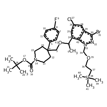 CC(OCC1(c2ccc(F)cc2)CCN(C(=O)OC(C)(C)C)CC1)c1cc(Cl)cc2c(Br)nn(COCC[Si](C)(C)C)c12